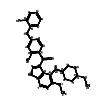 COc1cnc2[nH]cc(C(=O)c3ccc(Oc4ccccc4F)cc3Cl)c2c1N[C@@H]1CC[C@@H](CO)OC1